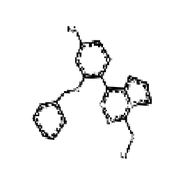 CCSc1nnc(-c2ccc(C(F)(F)F)cc2OCc2ccccc2)c2cccn12